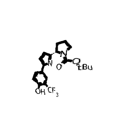 CC(C)(C)OC(=O)N1CCC[C@H]1C1=NC(c2ccc(O)c(C(F)(F)F)c2)=C=C1